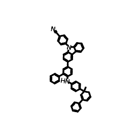 CC1(c2ccc(Nc3ccc(-c4ccc5c(c4)c4ccccc4n5-c4ccc(C#N)cc4)cc3-c3ccccc3)cc2)C=C(c2ccccc2)C=CC1